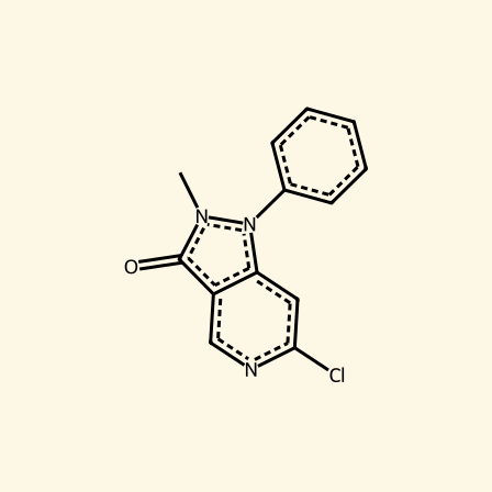 Cn1c(=O)c2cnc(Cl)cc2n1-c1ccccc1